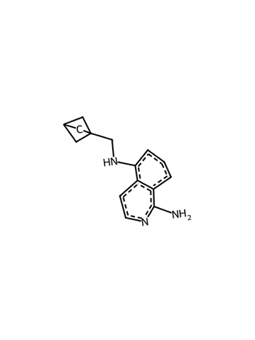 Nc1nccc2c(NCC34CC(C3)C4)cccc12